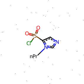 CCCn1cncc1S(=O)(=O)Cl